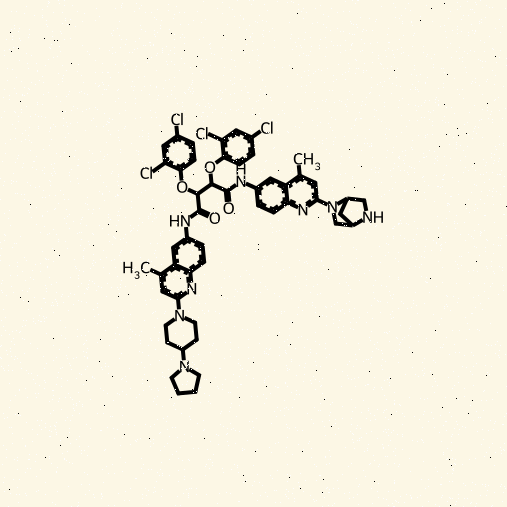 Cc1cc(N2CCC(N3CCCC3)CC2)nc2ccc(NC(=O)C(Oc3ccc(Cl)cc3Cl)C(Oc3ccc(Cl)cc3Cl)C(=O)Nc3ccc4nc(N5CC6CC5CN6)cc(C)c4c3)cc12